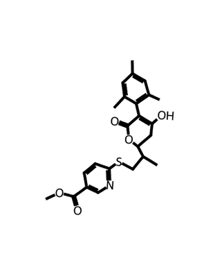 COC(=O)c1ccc(SCC(C)C2CC(O)=C(c3c(C)cc(C)cc3C)C(=O)O2)nc1